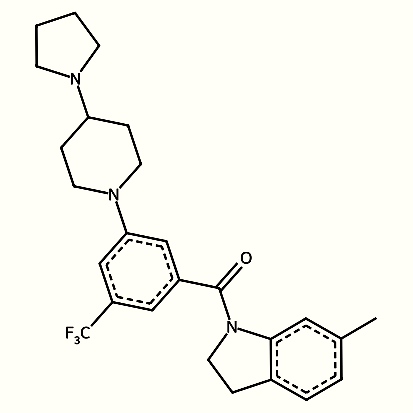 Cc1ccc2c(c1)N(C(=O)c1cc(N3CCC(N4CCCC4)CC3)cc(C(F)(F)F)c1)CC2